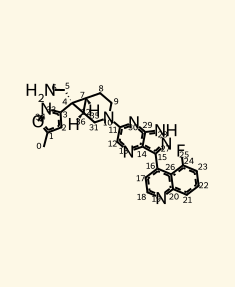 Cc1cc([C@@]2(CN)[C@@H]3CCN(c4cnc5c(-c6ccnc7cccc(F)c67)n[nH]c5n4)C[C@@H]32)no1